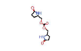 O=C1CCC(COC(=O)OCC2CCC(=O)N2)N1